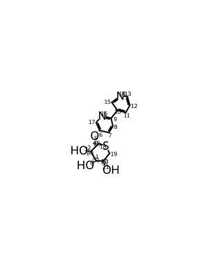 O[C@@H]1[C@@H](O)[C@H](Oc2ccc(-c3cccnc3)nc2)SC[C@H]1O